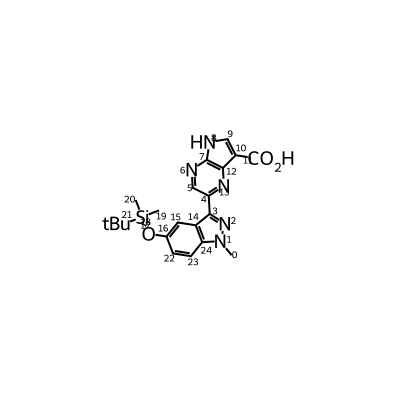 Cn1nc(-c2cnc3[nH]cc(C(=O)O)c3n2)c2cc(O[Si](C)(C)C(C)(C)C)ccc21